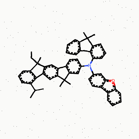 CCC1(C)c2cc3c(cc2-c2c(C(C)C)cccc21)C(C)(C)c1cc(N(c2ccc4c(c2)oc2ccccc24)c2cccc4c2-c2ccccc2C4(C)C)ccc1-3